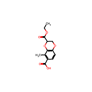 CCOC(=O)C1COc2ccc(C(=O)O)c(C)c2O1